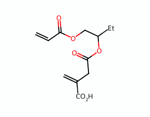 C=CC(=O)OCC(CC)OC(=O)CC(=C)C(=O)O